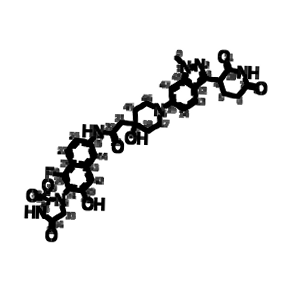 Cn1nc(C2CCC(=O)NC2=O)c2ccc(N3CCC(O)(CC(=O)Nc4ccc5c(F)c(N6CC(=O)NS6(=O)=O)c(O)cc5c4)CC3)cc21